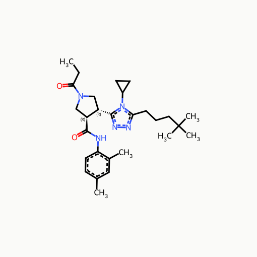 CCC(=O)N1C[C@H](C(=O)Nc2ccc(C)cc2C)[C@@H](c2nnc(CCCC(C)(C)C)n2C2CC2)C1